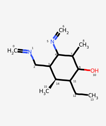 C=NCC1C(N=C)C(C)C(O)C(CC)[C@H]1C